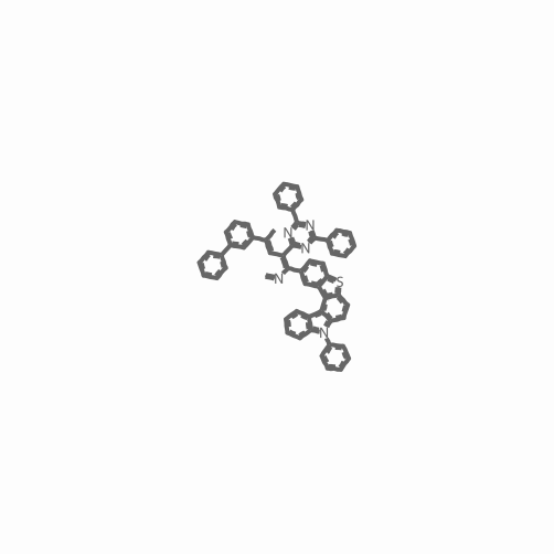 C=N/C(=C(\C=C(/C)c1cccc(-c2ccccc2)c1)c1nc(-c2ccccc2)nc(-c2ccccc2)n1)c1ccc2sc3ccc4c(c5ccccc5n4-c4ccccc4)c3c2c1